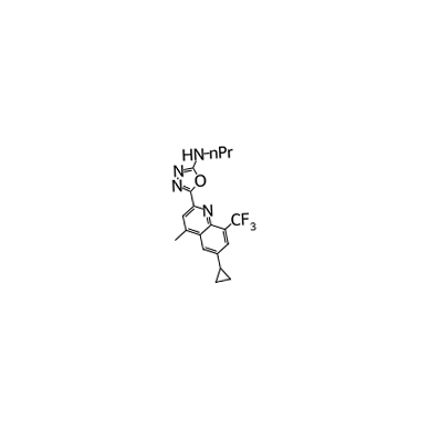 CCCNc1nnc(-c2cc(C)c3cc(C4CC4)cc(C(F)(F)F)c3n2)o1